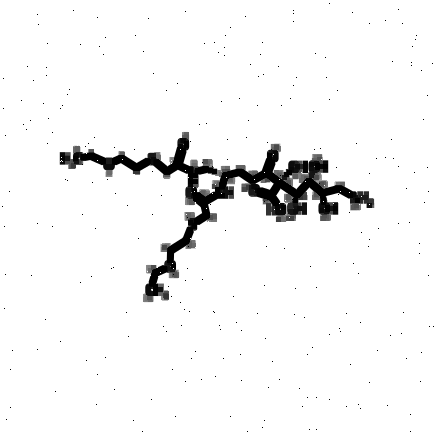 CCOCCSCC(=O)NC[C@H](CCC(=O)[C@](O)(C(=O)O)[C@@H](O)[C@H](O)[C@H](O)CN)NC(=O)CSCCOCC